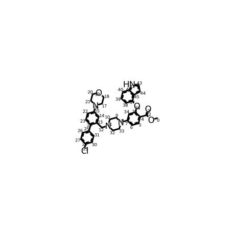 COC(=O)c1ccc(N2CCN(Cc3cc(N4CCOCC4)ccc3-c3ccc(Cl)cc3)CC2)cc1Oc1cccc2[nH]ccc12